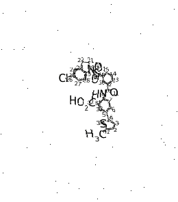 Cc1ccc(-c2ccc(NC(=O)c3cccc(S(=O)(=O)N4CCc5cc(Cl)ccc54)c3)c(C(=O)O)c2)s1